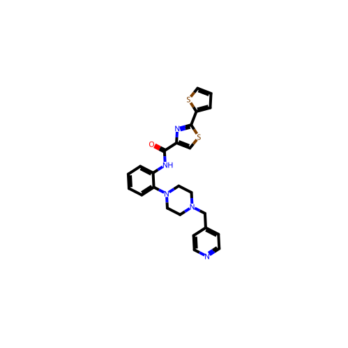 O=C(Nc1ccccc1N1CCN(Cc2ccncc2)CC1)c1csc(-c2cccs2)n1